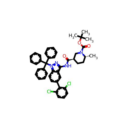 C[C@@H]1CC[C@@H](C(=O)Nc2nn(C(c3ccccc3)(c3ccccc3)c3ccccc3)c3ccc(-c4c(Cl)cccc4Cl)cc23)CN1C(=O)OC(C)(C)C